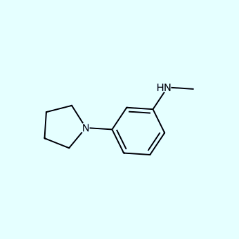 CNc1cccc(N2CCCC2)c1